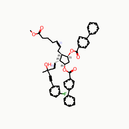 COC(=O)CCC/C=C\C[C@@H]1[C@@H](/C=C/C(C)(O)C#Cc2cccc(F)c2)[C@H](OC(=O)c2ccc(-c3ccccc3)cc2)C[C@@H]1OC(=O)c1ccc(-c2ccccc2)cc1